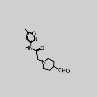 Cc1cc(NC(=O)CN2CCC(C=O)CC2)no1